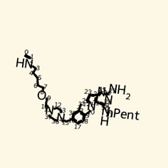 C=CNCCCCCOCCN1CCN(Cc2ccc(Cn3ccc4nc(N)nc(NCCCCC)c43)c(C)c2)CC1